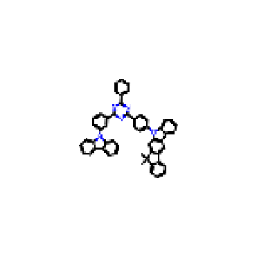 CC1(C)c2ccccc2-c2cc3c4ccccc4n(-c4ccc(-c5nc(-c6ccccc6)nc(-c6cccc(-n7c8ccccc8c8ccccc87)c6)n5)cc4)c3cc21